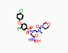 CN(CCN(CC(=O)NO)S(=O)(=O)c1ccc(Oc2ccc(Cl)cc2)c(F)c1)C(=O)N1CCOCC1